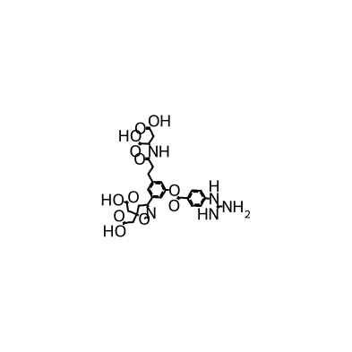 N=C(N)Nc1ccc(C(=O)Oc2cc(CCC(=O)NC(CC(=O)O)C(=O)O)cc(C3=NOC(CC(=O)O)(CC(=O)O)C3)c2)cc1